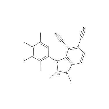 Cc1cc(N2c3c(ccc(C#N)c3C#N)N(C)[C@@H]2C)c(C)c(C)c1C